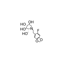 OC[C@@H]1[C@@H](O)[C@H](O)[C@@H](O)CN1CCc1cc2c(cc1F)OCO2